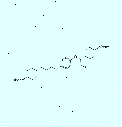 C=CC(Oc1ccc(CCCC[C@H]2CC[C@H](CCCCC)CC2)cc1)[C@H]1CC[C@H](CCCCC)CC1